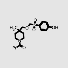 CC(C)C(=O)N1CCC(C)(COCS(=O)(=O)c2ccc(O)cc2)CC1